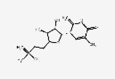 C=C1NC(=O)C(C)=CN1[C@@H]1OC(CCP(=C)(C)C)[C@@H](O)[C@H]1O